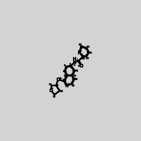 O=C(Nc1ccc2c(OC3CCOC3)nccc2c1)c1ccccn1